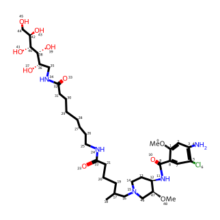 COc1cc(N)c(Cl)cc1C(=O)N[C@@H]1CCN(CC(C)CCCC(=O)NCCCCCCCC(=O)NC[C@H](O)[C@@H](O)[C@H](O)[C@H](O)CO)C[C@@H]1OC